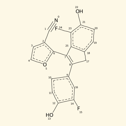 N#Cc1ccoc1C1=C(c2ccc(O)c(F)c2)Cc2ccc(O)c(F)c21